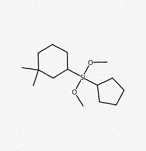 CO[Si](OC)(C1CCCC1)C1CCCC(C)(C)C1